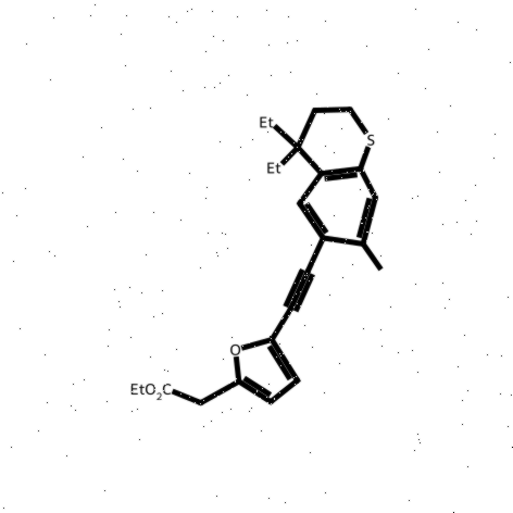 CCOC(=O)Cc1ccc(C#Cc2cc3c(cc2C)SCCC3(CC)CC)o1